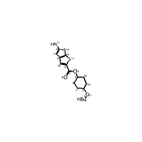 CCCCOC1CCC(OC(=O)c2cc3cc(CCC)sc3s2)CC1